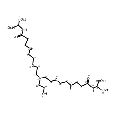 CCCCCCCCC(CCCCCCCC)NC(=O)CCNCCOCCN(CCO)CCOCCNCCC(=O)NC(CCCCCCCC)CCCCCCCC